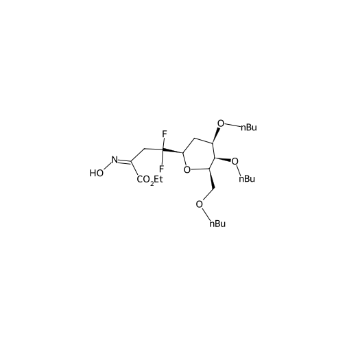 CCCCOC[C@H]1O[C@@H](C(F)(F)C/C(=N/O)C(=O)OCC)C[C@@H](OCCCC)[C@H]1OCCCC